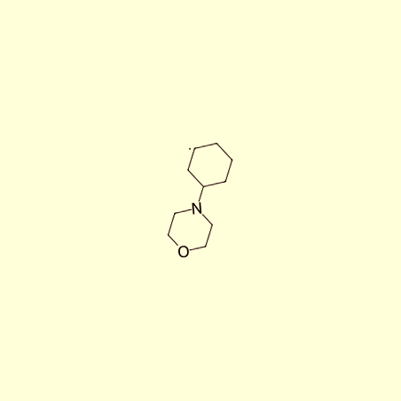 [CH]1CCCC(N2CCOCC2)C1